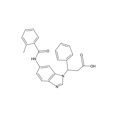 Cc1ccccc1C(=O)Nc1ccc2ncn(C(CC(=O)O)c3ccccc3)c2c1